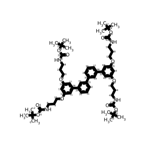 CC(C)(C)OC(=O)NCCCOc1cc(OCCCNC(=O)OC(C)(C)C)cc(-c2cccc(-c3cccc(-c4cc(OCCCNC(=O)OC(C)(C)C)cc(OCCCNC(=O)OC(C)(C)C)c4)c3)c2)c1